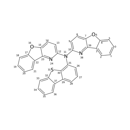 c1ccc2c(c1)oc1ccc(N(c3ccc4oc5ccccc5c4n3)c3cccc4c3sc3ccccc34)nc12